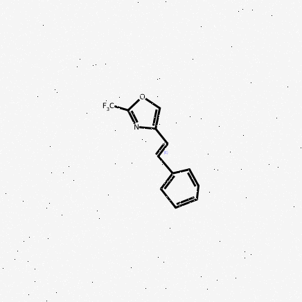 FC(F)(F)c1nc(/C=C/c2ccccc2)co1